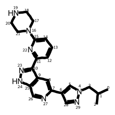 CC(C)Cn1cc(-c2cc3c(-c4cccc(N5CCNCC5)n4)n[nH]c3cn2)cn1